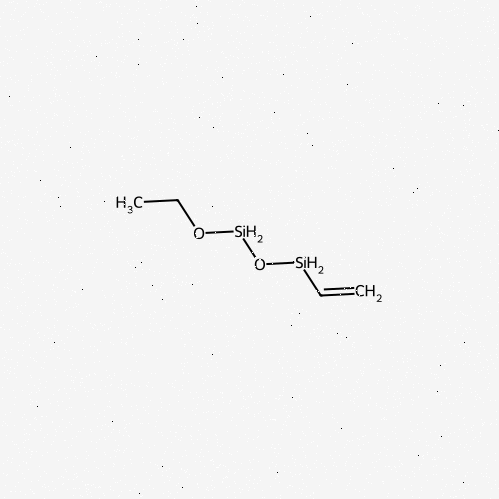 C=C[SiH2]O[SiH2]OCC